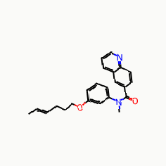 CC=CCCCOc1cccc(N(C)C(=O)c2ccc3ncccc3c2)c1